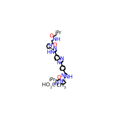 CC(C)CC(=O)NCC(=O)N1CCC[C@H]1c1ncc(-c2ccc3nc(-c4ccc(-c5c[nH]c([C@@H]6CCCN6C(=O)[C@H](C(C)C)N(C)C(=O)O)n5)cc4)cnc3c2)[nH]1